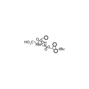 CC(C)(C)c1cccc2c1-c1ccccc1C2COC(=O)NCC(=O)NC(CCC(=O)O)C(=O)OCc1ccccc1